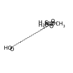 CCCC(=O)OOC(=O)C(CCCCCCC=CCCCCCCCCCCCCCCCCCC=CCCCCCCCC(=O)O)ON(C)C